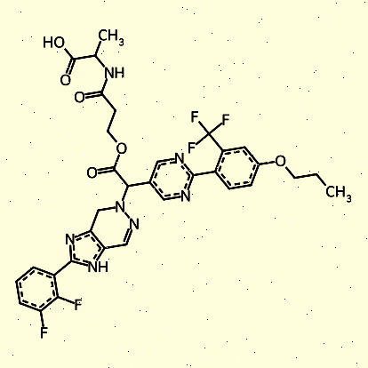 CCCOc1ccc(-c2ncc(C(C(=O)OCCC(=O)NC(C)C(=O)O)N3Cc4nc(-c5cccc(F)c5F)[nH]c4C=N3)cn2)c(C(F)(F)F)c1